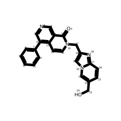 O=c1c2cncc(-c3ccccc3)c2ccn1Cc1cn2cc(CO)ccc2n1